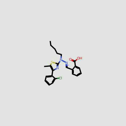 CCCCCN(/N=C/c1ccccc1C(=O)O)c1nc(-c2ccccc2Cl)c(C)s1